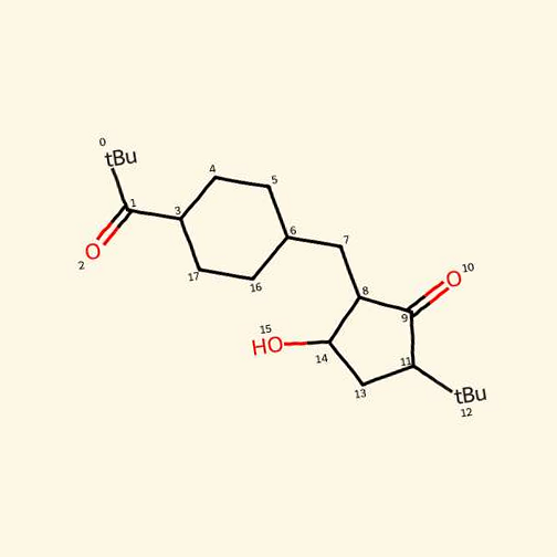 CC(C)(C)C(=O)C1CCC(CC2C(=O)C(C(C)(C)C)CC2O)CC1